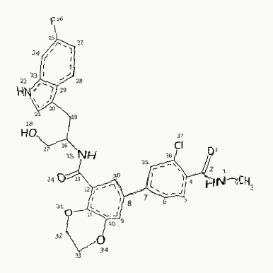 CNC(=O)c1ccc(-c2cc3c(c(C(=O)NC(CO)Cc4c[nH]c5cc(F)ccc45)c2)OCCO3)cc1Cl